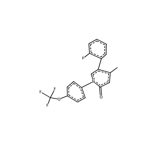 Cc1cc(=O)n(-c2ccc(OC(F)(F)F)cc2)cc1-c1ccccc1F